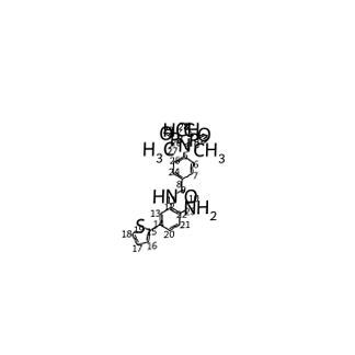 CP(C)(=O)N(c1ccc(C(=O)Nc2cc(-c3cccs3)ccc2N)cc1)P(C)(C)=O